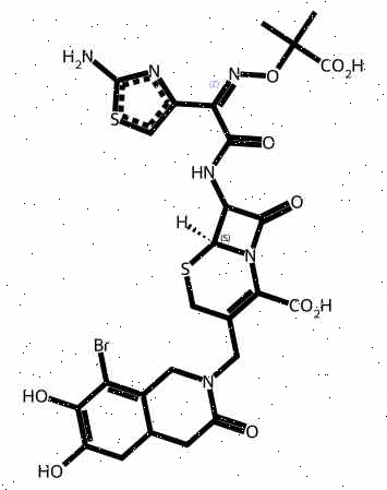 CC(C)(O/N=C(\C(=O)NC1C(=O)N2C(C(=O)O)=C(CN3CC4=C(Br)C(O)=C(O)CC4CC3=O)CS[C@@H]12)c1csc(N)n1)C(=O)O